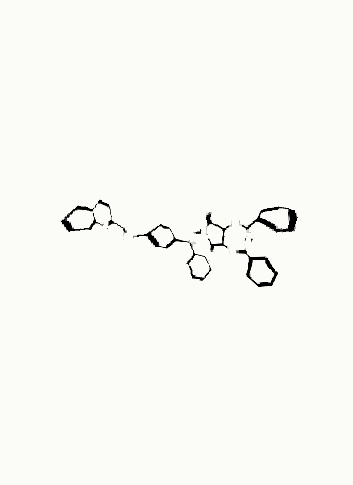 O=C(OC1C(=O)N(O[C@@H](c2ccc(OCc3ccc4ccccc4n3)cc2)C2CCCCC2)C(=O)C1OC(=O)c1ccccc1)c1ccccc1